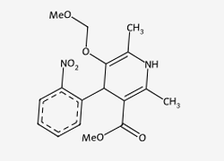 COCOC1=C(C)NC(C)=C(C(=O)OC)C1c1ccccc1[N+](=O)[O-]